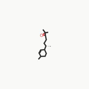 CC1C=CC([C@@H](C)CCC2OC2(C)C)CC1